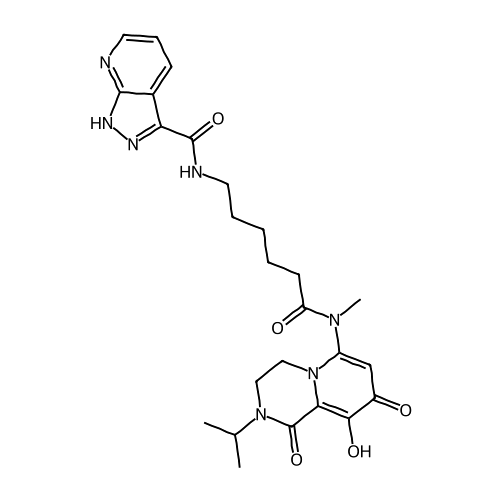 CC(C)N1CCn2c(N(C)C(=O)CCCCCNC(=O)c3n[nH]c4ncccc34)cc(=O)c(O)c2C1=O